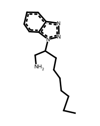 CCCCCCCC(CN)n1nnc2ccccc21